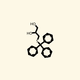 OCC(O)CSC(c1ccccc1)(c1ccccc1)c1ccccc1